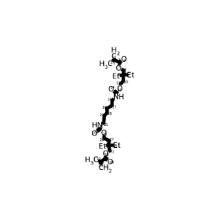 C=C(C)C(=O)OCC(CC)(CC)CCOC(=O)NCCCCCCNC(=O)OCCC(CC)(CC)COC(=O)C(=C)C